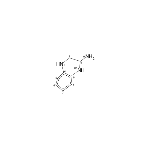 NC1CNc2ccccc2N1